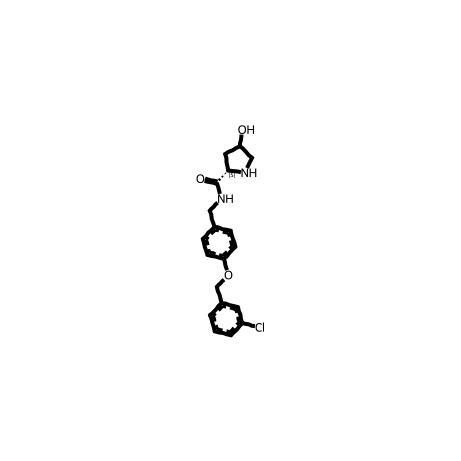 O=C(NCc1ccc(OCc2cccc(Cl)c2)cc1)[C@@H]1CC(O)CN1